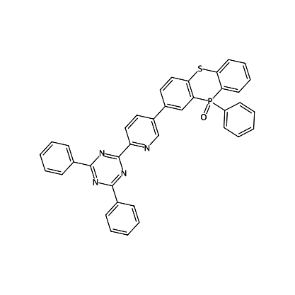 O=P1(c2ccccc2)c2ccccc2Sc2ccc(-c3ccc(-c4nc(-c5ccccc5)nc(-c5ccccc5)n4)nc3)cc21